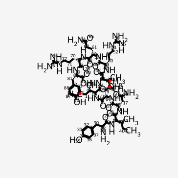 CC[C@H](C)[C@H](NC(=O)[C@H](CC(C)C)NC(=O)[C@H](CC(N)=O)NC(=O)[C@@H](NC(=O)[C@@H](N)Cc1ccc(O)cc1)[C@@H](C)CC)C(=O)N[C@H](C(=O)N[C@@H](CCCNC(=N)N)C(=O)N[C@@H](CCC(N)=O)C(=O)N[C@@H](CCCNC(=N)N)C(=O)N[C@@H](Cc1ccc(O)cc1)C(=O)O)[C@@H](C)O